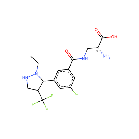 CCN1NCC(C(F)(F)F)C1c1cc(F)cc(C(=O)NC[C@@H](N)C(=O)O)c1